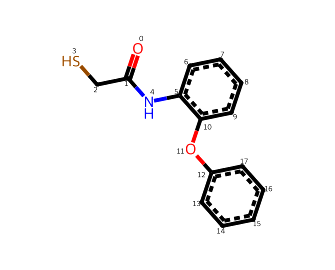 O=C(CS)Nc1ccccc1Oc1ccccc1